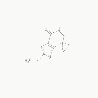 CCn1cc2c(n1)C1(CC1)CNC2=O